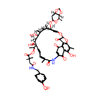 CC(=O)O[C@H]1[C@H](C)[C@H](O)[C@H](C)[C@@H](O)[C@@H](C(C)OC(=O)C(C)(C)CC(=O)NCc2ccc(O)cc2)/C=C/C=C(/C)C(=O)NC2=CC(=O)c3c(c(O)c(C)c4c3C(=O)[C@@](C)(O/C=C/[C@H](O[C@H]3C[C@@H]5OCO[C@@H]5[C@@H](C)O3)[C@H]1C)O4)C2=O